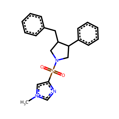 Cn1cnc(S(=O)(=O)N2CC(Cc3ccccc3)C(c3ccccc3)C2)c1